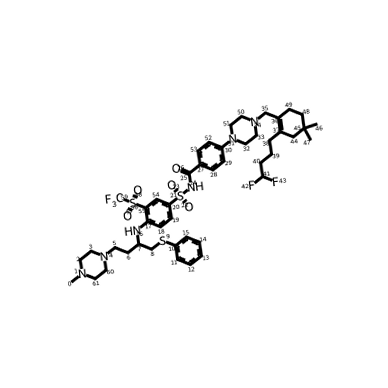 CN1CCN(CCC(CSc2ccccc2)Nc2ccc(S(=O)(=O)NC(=O)c3ccc(N4CCN(CC5=C(CCCC(F)F)CC(C)(C)CC5)CC4)cc3)cc2S(=O)(=O)C(F)(F)F)CC1